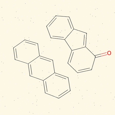 O=C1C=CC=C2C1=Cc1ccccc12.c1ccc2cc3ccccc3cc2c1